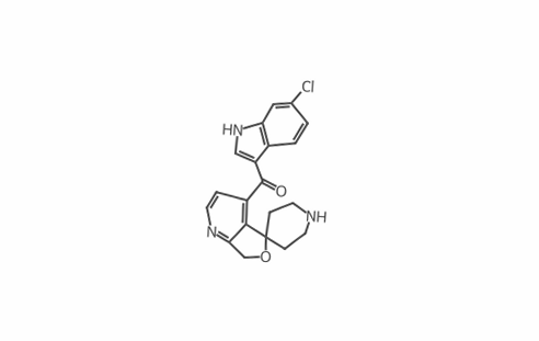 O=C(c1ccnc2c1C1(CCNCC1)OC2)c1c[nH]c2cc(Cl)ccc12